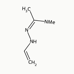 C=CN/N=C(/C)NC